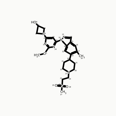 COc1nc(N2CC(O)C2)cc(-n2ncc3cc(C)c(C4CCN(CCS(C)(=O)=O)CC4)cc32)n1